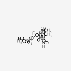 CC1CN(c2cc(F)c(C3=CCN(C(=O)CC(C)(C)C)CC3)cc2NC(=O)c2c[nH]c(=O)cc2C(F)(F)F)CC(C)N1C